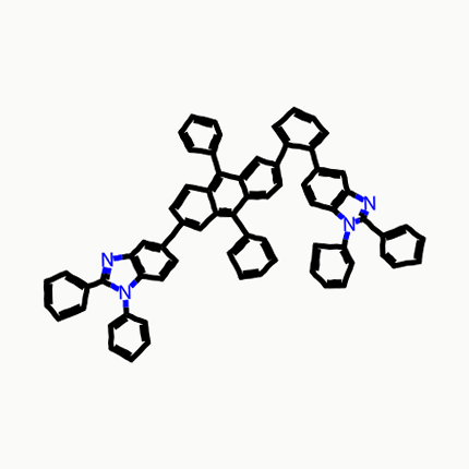 c1ccc(-c2c3ccc(-c4ccccc4-c4ccc5c(c4)nc(-c4ccccc4)n5-c4ccccc4)cc3c(-c3ccccc3)c3ccc(-c4ccc5c(c4)nc(-c4ccccc4)n5-c4ccccc4)cc23)cc1